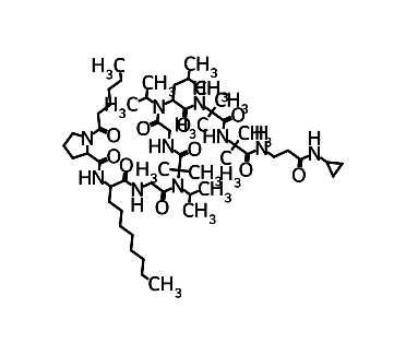 CCCCCCCCC(NC(=O)C1CCCN1C(=O)CCCCC)C(=O)NCC(=O)N(C(C)C)C(C)(C)C(=O)NCC(=O)N(C(C)C)C(CC(C)C)C(=O)NC(C)(C)C(=O)NC(C)(C)C(=O)NCCC(=O)NC1CC1